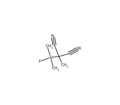 CC(C#N)(C#N)[Si](C)(C)F